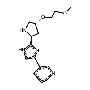 COCCO[C@H]1CN[C@H](c2nc(-c3cccnc3)c[nH]2)C1